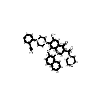 N#Cc1ccccc1N1CCN(c2c(F)cc3c(=O)c(C(=O)N4CCOCC4)cn4c3c2Oc2ccc3ccccc3c2-4)CC1